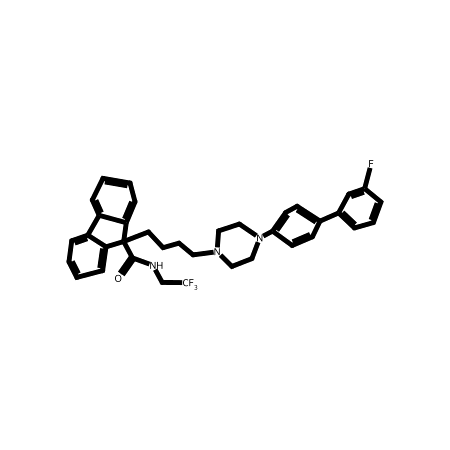 O=C(NCC(F)(F)F)C1(CCCCN2CCN(c3ccc(-c4cccc(F)c4)cc3)CC2)c2ccccc2-c2ccccc21